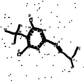 CN(C)C=Nc1nc(Cl)c(C(C)(C)C)c(Cl)n1